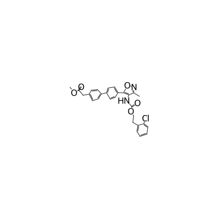 COC(=O)Cc1ccc(-c2ccc(-c3onc(C)c3NC(=O)OCCc3ccccc3Cl)cc2)cc1